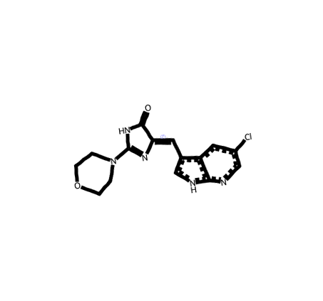 O=C1NC(N2CCOCC2)=N/C1=C\c1c[nH]c2ncc(Cl)cc12